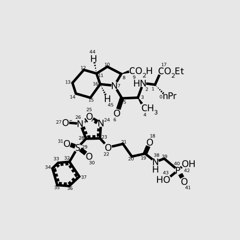 CCC[C@H](N[C@@H](C)C(=O)N1[C@H](C(=O)O)C[C@@H]2CCCC[C@@H]21)C(=O)OCC.O=C(CCOc1no[n+]([O-])c1S(=O)(=O)c1ccccc1)NCP(=O)(O)O